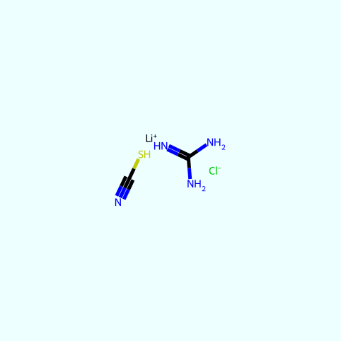 N#CS.N=C(N)N.[Cl-].[Li+]